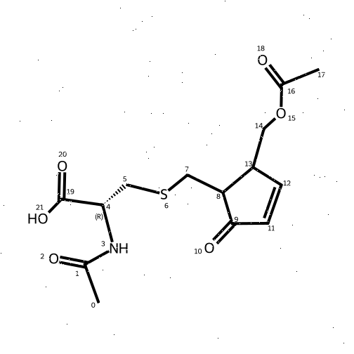 CC(=O)N[C@@H](CSCC1C(=O)C=CC1COC(C)=O)C(=O)O